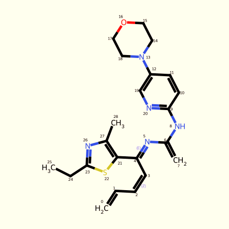 C=C/C=C\C(=N/C(=C)Nc1ccc(N2CCOCC2)cn1)c1sc(CC)nc1C